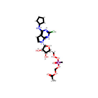 CC(C)(C)C(=O)OCOP(C)(=O)OOC[C@H]1O[C@@H](n2ccc3c(NC4CCCC4)nc(Cl)nc32)[C@H](O)[C@@H]1O